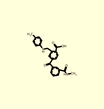 CNC(=O)c1cccc(C(=O)c2ccc(C(=O)O)c(CNc3ccc(C)cc3)c2)c1